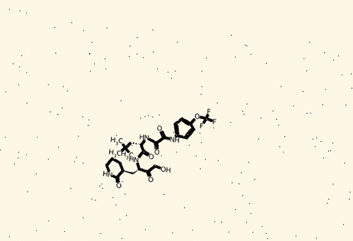 CC(C)(C)C[C@H](NC(=O)C(=O)Nc1ccc(OC(F)(F)F)cc1)C(=O)N[C@@H](C[C@@H]1CCCNC1=O)C(=O)CO